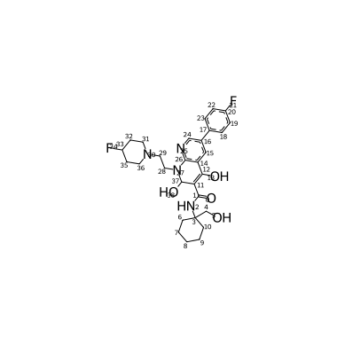 O=C(NC1(CO)CCCCC1)C1=C(O)c2cc(-c3ccc(F)cc3)cnc2N(CCN2CCC(F)CC2)C1O